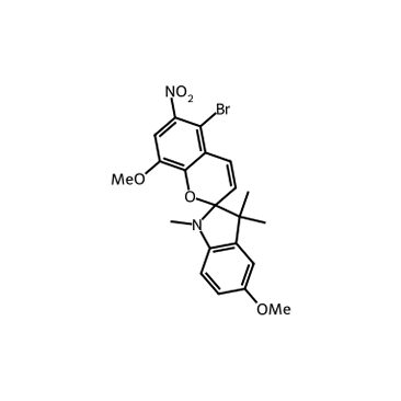 COc1ccc2c(c1)C(C)(C)C1(C=Cc3c(Br)c([N+](=O)[O-])cc(OC)c3O1)N2C